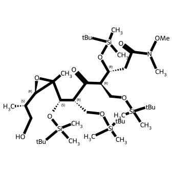 CON(C)C(=O)C[C@@H](O[Si](C)(C)C(C)(C)C)[C@@H](CO[Si](C)(C)C(C)(C)C)C(=O)[C@H](CO[Si](C)(C)C(C)(C)C)[C@H](O[Si](C)(C)C(C)(C)C)C1(C)O[C@@H]1[C@@H](C)CO